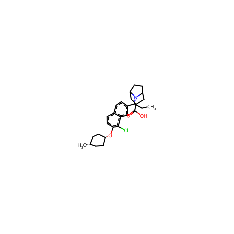 CCC(c1ccc2ccc(O[C@H]3CC[C@@H](C)CC3)c(Cl)c2c1)N1C2CCC1CC(C(=O)O)C2